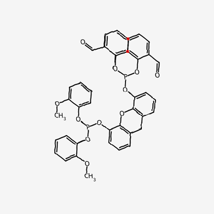 COc1ccccc1OP(Oc1ccccc1OC)Oc1cccc2c1Oc1c(cccc1OP(Oc1ccccc1C=O)Oc1ccccc1C=O)C2